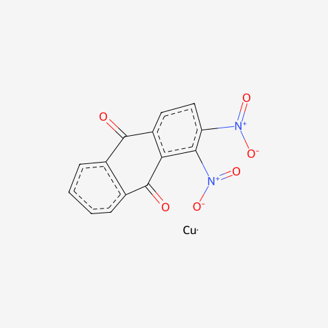 O=C1c2ccccc2C(=O)c2c1ccc([N+](=O)[O-])c2[N+](=O)[O-].[Cu]